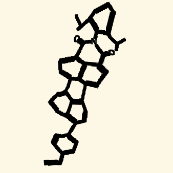 C=Cc1ccc(-c2ccc3c4ccc5c6c(ccc(c7cccc2c73)c64)C(=O)N(c2c(C(C)C)cccc2C(C)C)C5=O)cc1